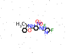 CC[C@@H](NC(=O)c1ccc(NCc2ncc(F)cc2F)c([N+](=O)[O-])c1)c1ccccc1